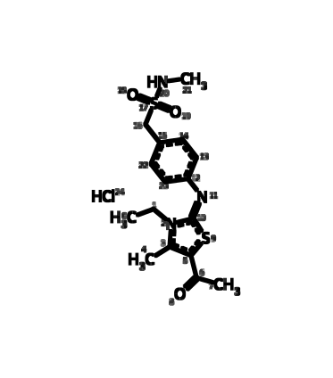 CCn1c(C)c(C(C)=O)sc1=Nc1ccc(CS(=O)(=O)NC)cc1.Cl